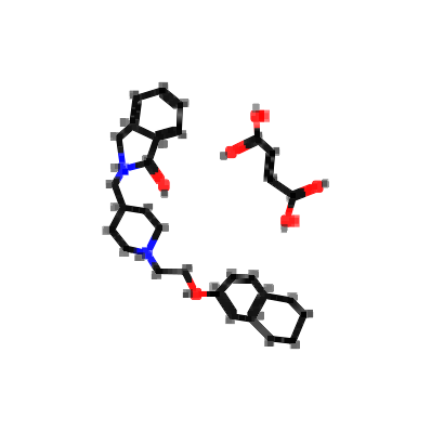 O=C(O)/C=C/C(=O)O.O=C1c2ccccc2CN1CC1CCN(CCOc2ccc3c(c2)CCCC3)CC1